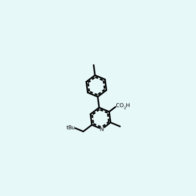 Cc1ccc(-c2cc(CC(C)(C)C)nc(C)c2C(=O)O)cc1